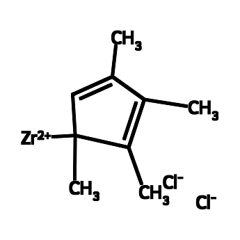 CC1=C[C](C)([Zr+2])C(C)=C1C.[Cl-].[Cl-]